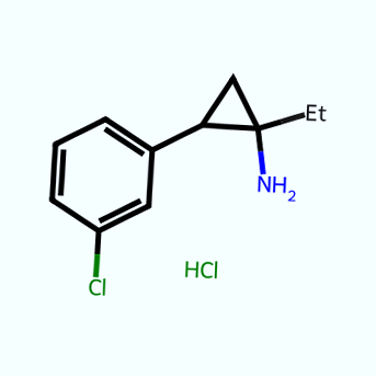 CCC1(N)CC1c1cccc(Cl)c1.Cl